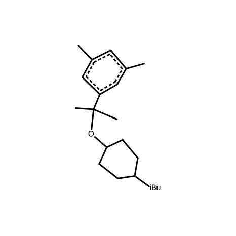 CCC(C)C1CCC(OC(C)(C)c2cc(C)cc(C)c2)CC1